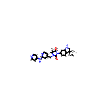 CC1(C)CNc2cc(N3C(=O)N(Cc4ccnc(Nc5ccncc5)c4)C(C)(C)C3=O)ccc21